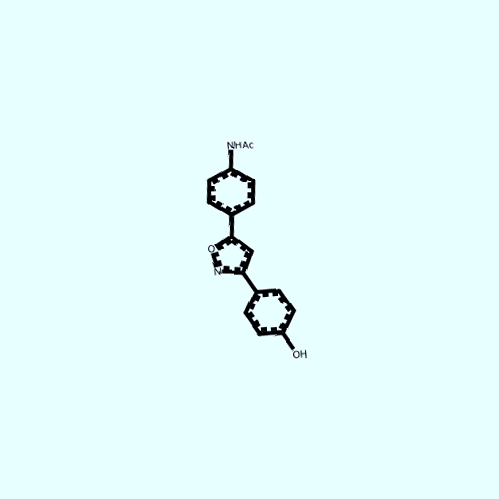 CC(=O)Nc1ccc(-c2cc(-c3ccc(O)cc3)no2)cc1